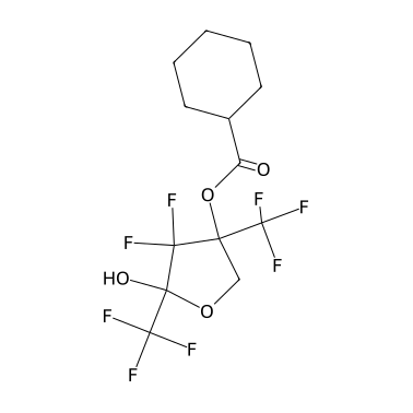 O=C(OC1(C(F)(F)F)COC(O)(C(F)(F)F)C1(F)F)C1CCCCC1